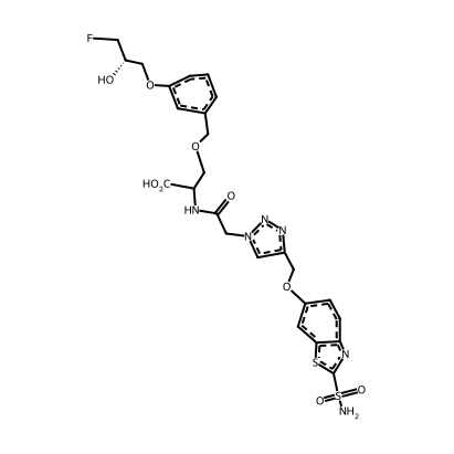 NS(=O)(=O)c1nc2ccc(OCc3cn(CC(=O)NC(COCc4cccc(OC[C@H](O)CF)c4)C(=O)O)nn3)cc2s1